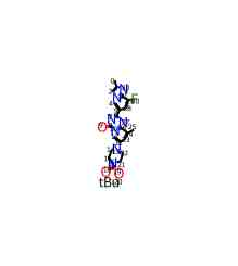 Cc1cn2cc(-c3nc(=O)n4cc(N5CCN(C(=O)OC(C)(C)C)CC5)cc(C)c4n3)cc(F)c2n1